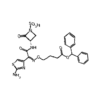 Nc1nc(C(=NOCCCC(=O)OC(c2ccccc2)c2ccccc2)C(=O)N[C@H]2CN(S(=O)(=O)O)C2=O)cs1